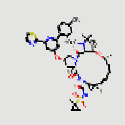 CC[C@@H]1O[C@H](C)CCC=C[C@@H]2C[C@@]2(C(=O)NS(=O)(=O)C2(C)CC2)NC(=O)[C@@H]2C[C@@H](Oc3cc(-c4ccc(C(F)(F)F)cc4)nc(-c4nccs4)c3)CN2C(=O)[C@H]1N(C(=O)O)C(C)(C)C(F)(F)F